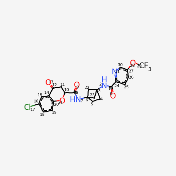 O=C(NC12CCC(NC(=O)C3CC(=O)c4cc(Cl)ccc4O3)(C1)C2)c1ccc(OC(F)(F)F)cn1